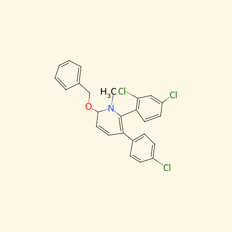 CN1C(c2ccc(Cl)cc2Cl)=C(c2ccc(Cl)cc2)C=CC1OCc1ccccc1